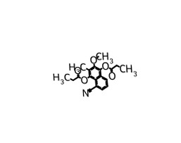 CCC(=O)Oc1c(OC)c(C)c(OC(=O)CC)c2c(C#N)cccc12